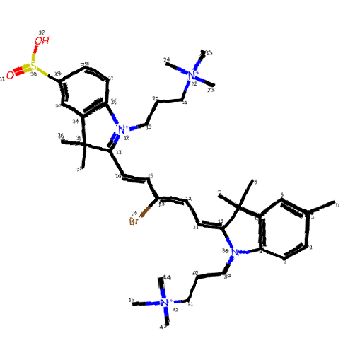 Cc1ccc2c(c1)C(C)(C)\C(=C/C=C(Br)/C=C/C1=[N+](CCC[N+](C)(C)C)c3ccc(S(=O)O)cc3C1(C)C)N2CCC[N+](C)(C)C